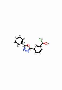 O=C(Cl)c1cccc(-c2nnc(-c3ccccc3)o2)c1